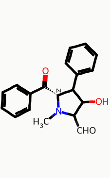 CN1C(C=O)C(O)C(c2ccccc2)[C@H]1C(=O)c1ccccc1